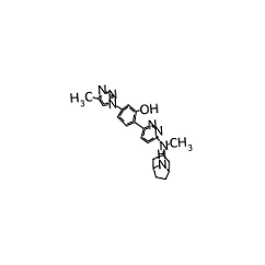 Cc1cn(-c2ccc(-c3ccc(N(C)C4CC5CCC(C4)N5)nn3)c(O)c2)nn1